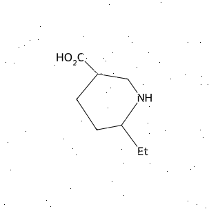 CCC1CCC(C(=O)O)CN1